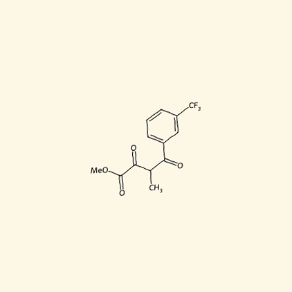 COC(=O)C(=O)C(C)C(=O)c1cccc(C(F)(F)F)c1